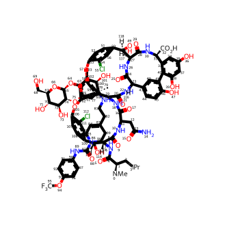 CN[C@H](CC(C)C)C(=O)N[C@H]1C(=O)NC(CC(N)=O)C(=O)NC2C(=O)N[C@H]3C(=O)N[C@H](C(=O)N[C@@H](C(=O)O)c4cc(O)cc(O)c4-c4cc3ccc4O)[C@H](O)c3ccc(c(Cl)c3)Oc3cc2cc(c3O[C@@H]2O[C@H](CO)[C@@H](O)[C@H](O)[C@H]2O[C@H]2C[C@](C)(NCCC3=CCN(C(=O)Nc4ccc(OC(F)(F)F)cc4)CC3)[C@H](O)[C@H](C)O2)Oc2ccc(cc2Cl)[C@H]1O